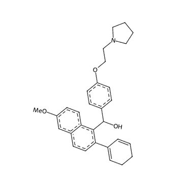 COc1ccc2c(C(O)c3ccc(OCCN4CCCC4)cc3)c(C3=CCCC=C3)ccc2c1